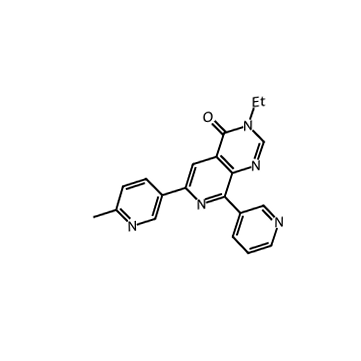 CCn1cnc2c(-c3cccnc3)nc(-c3ccc(C)nc3)cc2c1=O